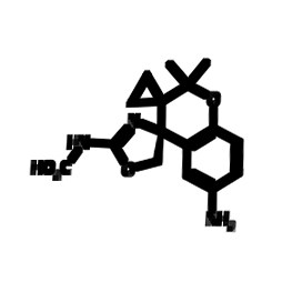 CC1(C)Oc2ccc(N)cc2[C@@]2(COC(NC(=O)O)=N2)C12CC2